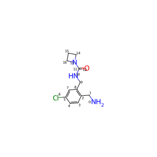 NCc1ccc(Cl)cc1CNC(=O)N1CCC1